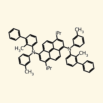 Cc1cccc(N(c2cccc(-c3ccccc3)c2C)c2cc(C(C)C)c3ccc4c(N(c5cccc(C)c5)c5cccc(-c6ccccc6)c5C)cc(C(C)C)c5ccc2c3c54)c1